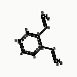 C=Cc1ccnnc1C=C